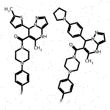 CC1=C(C(=O)N2CCN(c3ccc(F)cc3)CC2)C(c2ccc(C)s2)n2nccc2N1.CC1=C(C(=O)N2CCN(c3ccc(F)cc3)CC2)C(c2ccc(N3CCCC3)cc2)n2nccc2N1